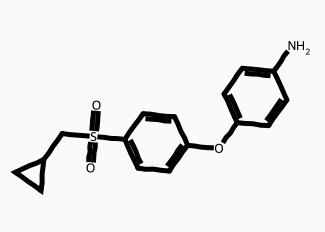 Nc1ccc(Oc2ccc(S(=O)(=O)CC3CC3)cc2)cc1